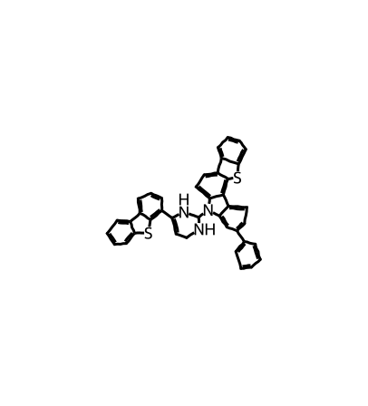 C1=C(c2cccc3c2sc2ccccc23)NC(n2c3cc(-c4ccccc4)ccc3c3c4sc5ccccc5c4ccc32)NC1